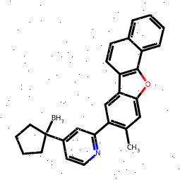 BC1(c2ccnc(-c3cc4c(cc3C)oc3c5ccccc5ccc43)c2)CCCC1